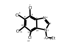 CCOn1cnc2c(Cl)c(Cl)c(Cl)c(Cl)c21